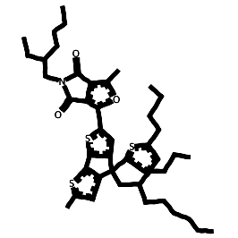 CCCCCCC(CCCC)CC1(c2ccc(CCCC)s2)c2cc(C)sc2-c2sc(-c3oc(C)c4c3C(=O)N(CC(CC)CCCC)C4=O)cc21